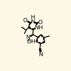 Cc1cc(C#N)cc(C(=NO)c2[nH]c(=O)[nH]c(=O)c2C(C)C)c1